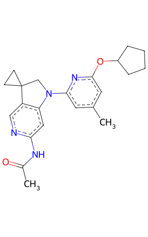 CC(=O)Nc1cc2c(cn1)C1(CC1)CN2c1cc(C)cc(OC2CCCC2)n1